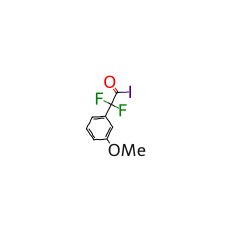 COc1cccc(C(F)(F)C(=O)I)c1